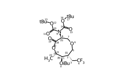 CC(C)CO[C@@H]1[C@@H](CC(F)(F)F)COC[C@H](N(C(=O)OC(C)(C)C)C(=O)OC(C)(C)C)C(=O)O[C@H]1C